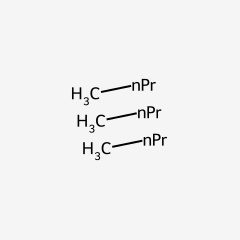 CCCC.CCCC.CCCC